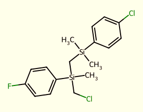 C[Si](C)(C[Si](C)(CCl)c1ccc(F)cc1)c1ccc(Cl)cc1